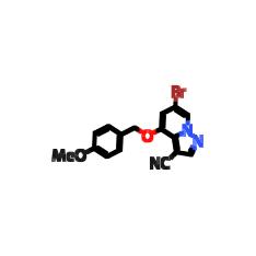 COc1ccc(COc2cc(Br)cn3ncc(C#N)c23)cc1